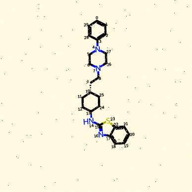 c1ccc(N2CCN(CC[C@H]3CC[C@H](Nc4nc5ccccc5s4)CC3)CC2)cc1